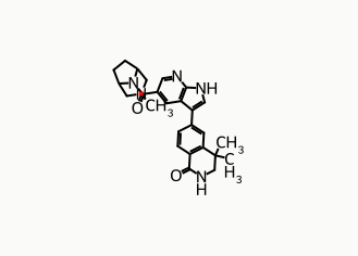 CN1CC2CCC(C1)N2C(=O)c1cnc2[nH]cc(-c3ccc4c(c3)C(C)(C)CNC4=O)c2c1